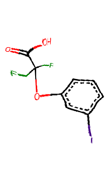 O=C(O)C(F)(F)Oc1cccc(I)c1